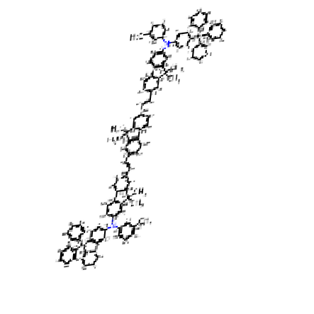 Cc1cccc(N(c2ccc([Si](c3ccccc3)(c3ccccc3)c3ccccc3)cc2)c2ccc3c(c2)C(C)(C)c2cc(/C=C/c4ccc5c(c4)C(C)(C)c4cc(/C=C/c6ccc7c(c6)C(C)(C)c6cc(N(c8ccc([Si](c9ccccc9)(c9ccccc9)c9ccccc9)cc8)c8cccc(C)c8)ccc6-7)ccc4-5)ccc2-3)c1